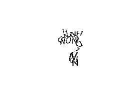 CN1CCN(CCCOc2ccc3[nH]cc(C(=O)Nc4ccccn4)c3n2)CC1